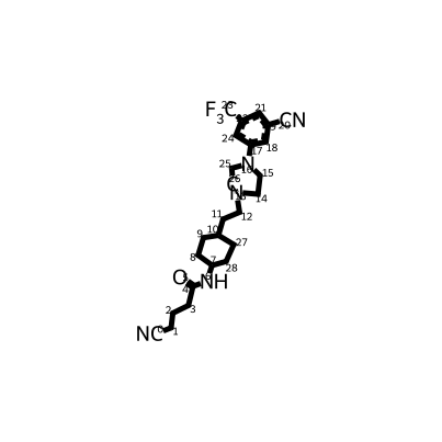 N#CCCCC(=O)NC1CCC(CCN2CCN(c3cc(C#N)cc(C(F)(F)F)c3)CC2)CC1